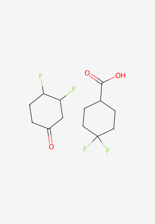 O=C(O)C1CCC(F)(F)CC1.O=C1CCC(F)C(F)C1